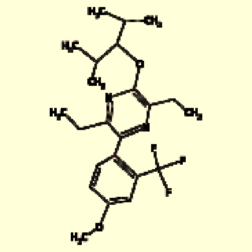 CCc1nc(-c2ccc(OC)cc2C(F)(F)F)c(CC)nc1OC(C(C)C)C(C)C